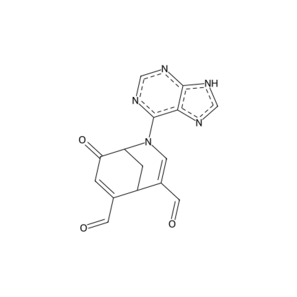 O=CC1=CC(=O)C2CC1C(C=O)=CN2c1ncnc2[nH]cnc12